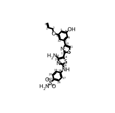 C=CCOc1cc(O)cc(-c2csc(-c3sc(Nc4ccc(S(N)(=O)=O)cc4)nc3N)n2)c1